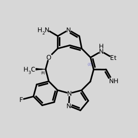 CCN/C1=C(\C=N)Cc2ccnn2-c2ccc(F)cc2[C@@H](C)Oc2cc1cnc2N